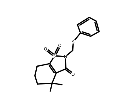 CC1(C)CCCC2=C1C(=O)N(CSc1ccccc1)S2(=O)=O